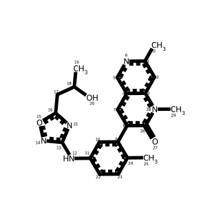 Cc1cc2c(cn1)cc(-c1cc(Nc3noc(CC(C)O)n3)ccc1C)c(=O)n2C